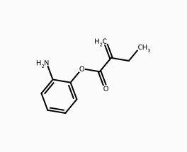 C=C(CC)C(=O)Oc1ccccc1N